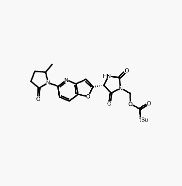 CC1CCC(=O)N1c1ccc2oc([C@@H]3NC(=O)N(COC(=O)C(C)(C)C)C3=O)cc2n1